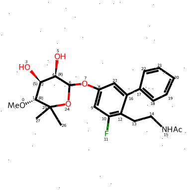 CO[C@@H]1[C@@H](O)[C@@H](O)C(Oc2cc(F)c(CCNC(C)=O)c(-c3ccccc3)c2)OC1(C)C